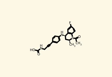 CC(=O)N1c2ccc(F)cc2[C@H](Nc2ccc(C#CCNC(=O)O)cc2)C[C@@H]1C